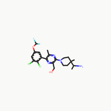 Cc1nc(N2CCC(C)(C(C)N)CC2)c(CO)nc1-c1cc(OC(F)F)cc(Cl)c1Cl